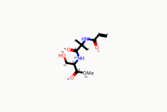 C=CC(=O)NC(C)(C)C(=O)NC(CO)C(=O)OC